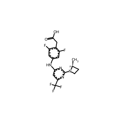 C[C@H]1CCN1c1nc(Nc2cc(F)c(CC(=O)O)c(F)c2)cc(C(F)(F)F)n1